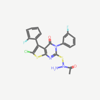 CC(=O)N(N)Sc1nc2sc(Cl)c(-c3ccccc3F)c2c(=O)n1-c1cccc(F)c1